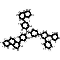 c1ccc(-c2ccc(-c3ccc(N(c4ccc(-c5cccc6ccccc56)cc4)c4ccc(-c5cccc6c5ccc5ccccc56)cc4)cc3)cc2-c2ccccc2)cc1